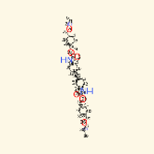 C/C=C/OCC1CCC(COC(=O)NC2CCC3(CC2)C2C3C23CCC(NC(=O)OCC2CCC(CO/C=C/C)CC2)CC3)CC1